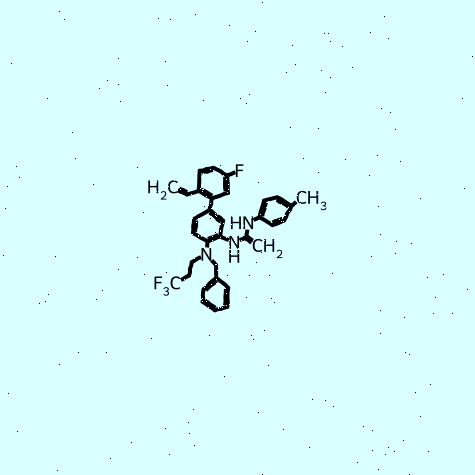 C=Cc1ccc(F)cc1-c1ccc(N(CCC(F)(F)F)Cc2ccccc2)c(NC(=C)Nc2ccc(C)cc2)c1